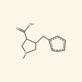 CN1CC(Cc2ccccc2)C(C(=O)O)C1